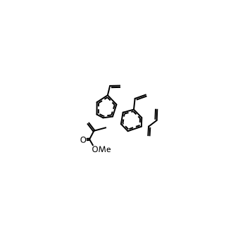 C=C(C)C(=O)OC.C=CC=C.C=Cc1ccccc1.C=Cc1ccccc1